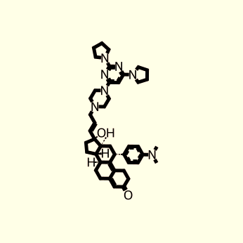 CN(C)c1ccc([C@H]2C[C@@]3(C)[C@@H](CC[C@@]3(O)C=CCN3CCN(c4cc(N5CCCC5)nc(N5CCCC5)n4)CC3)[C@@H]3CCC4=CC(=O)CCC4=C32)cc1